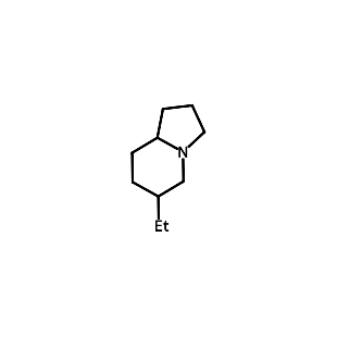 CCC1CCC2CCCN2C1